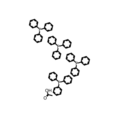 CC(=O)O.c1ccc(P(c2ccccc2)c2ccccc2)cc1.c1ccc(P(c2ccccc2)c2ccccc2)cc1.c1ccc(P(c2ccccc2)c2ccccc2)cc1.c1ccc(P(c2ccccc2)c2ccccc2)cc1